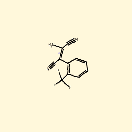 N#C/C(N)=C(/C#N)c1ccc[c]c1C(F)(F)F